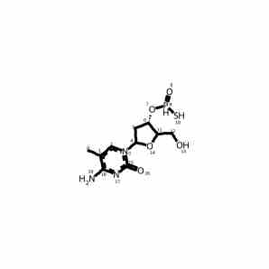 Cc1cn(C2C[C@H](O[PH](=O)S)C(CO)O2)c(=O)nc1N